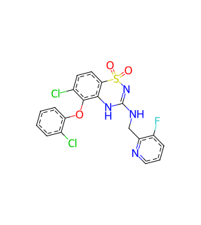 O=S1(=O)N=C(NCc2ncccc2F)Nc2c1ccc(Cl)c2Oc1ccccc1Cl